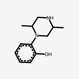 CC1CN(c2ccccc2O)C(C)CN1